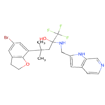 CC(C)(CC(O)(NCc1cc2ccncc2[nH]1)C(F)(F)F)c1cc(Br)cc2c1OCC2